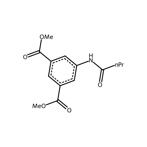 CCCC(=O)Nc1cc(C(=O)OC)cc(C(=O)OC)c1